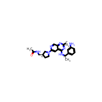 CC(=O)NC[C@@H]1CCN(c2cc3c(N[C@@H](C)c4cccc(N)c4)nc(C)nc3cn2)C1